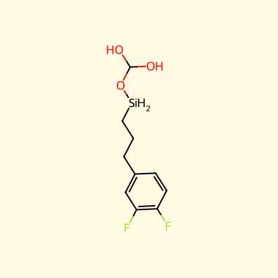 OC(O)O[SiH2]CCCc1ccc(F)c(F)c1